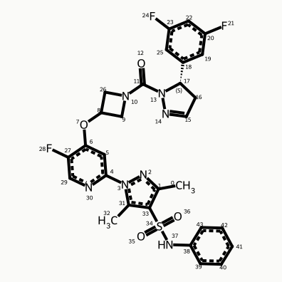 Cc1nn(-c2cc(OC3CN(C(=O)N4N=CC[C@H]4c4cc(F)cc(F)c4)C3)c(F)cn2)c(C)c1S(=O)(=O)Nc1ccccc1